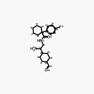 NC(CNC(=O)C1(c2ccc(F)cc2)CCCCC1)C1CCC(C=O)CC1